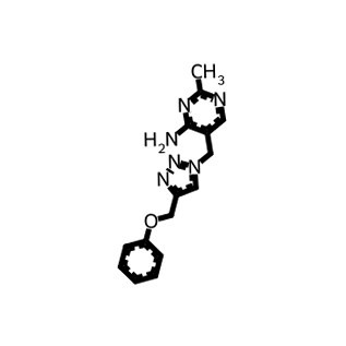 Cc1ncc(Cn2cc(COc3ccccc3)nn2)c(N)n1